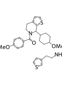 COc1ccc(C(=O)N2CCc3ccsc3C2C2CCC(OC)CC2)cc1.NCCc1ccsc1